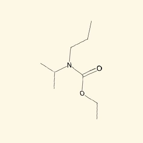 CCCN(C(=O)OCC)C(C)C